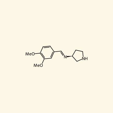 COc1ccc(C=N[C@H]2CCNC2)cc1OC